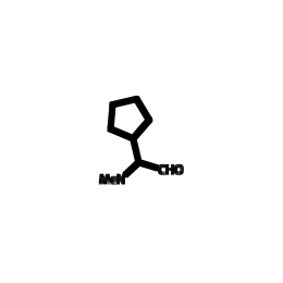 CNC(C=O)C1CCCC1